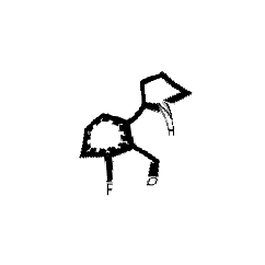 O=Cc1c(F)cccc1C1CCCN1